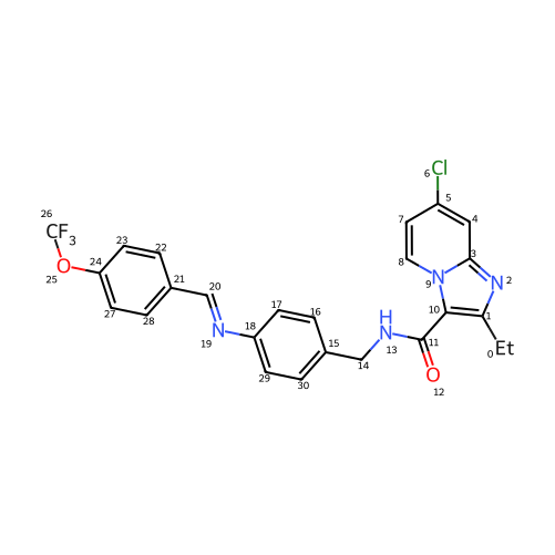 CCc1nc2cc(Cl)ccn2c1C(=O)NCc1ccc(N=Cc2ccc(OC(F)(F)F)cc2)cc1